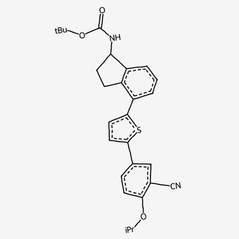 CC(C)Oc1ccc(-c2ccc(-c3cccc4c3CCC4NC(=O)OC(C)(C)C)s2)cc1C#N